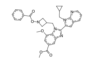 COC(=O)c1cc(OC)c2c(c1)nc(-c1cc3cccnc3n1CC1CC1)n2CC1CN(OC(=O)c2ccccc2)C1